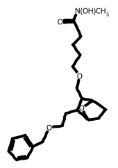 CN(O)C(=O)CCCCOCC1C2CCC(O2)C1CCOCc1ccccc1